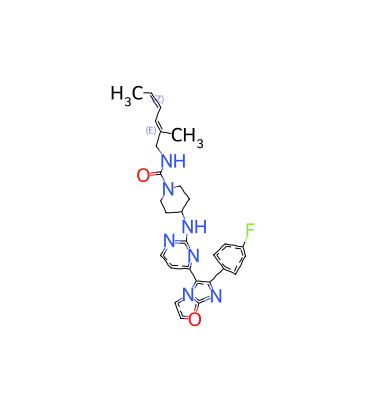 C/C=C\C=C(/C)CNC(=O)N1CCC(Nc2nccc(-c3c(-c4ccc(F)cc4)nc4occn34)n2)CC1